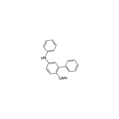 COc1ccc(Nc2c[c]ccc2)cc1-c1ccccc1